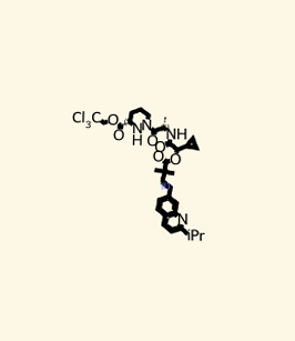 CC(C)c1ccc2ccc(/C=C/C(C)(C)C(=O)OC(C(=O)N[C@@H](C)C(=O)N3CCC[C@@H](C(=O)OCC(Cl)(Cl)Cl)N3)C3CC3)cc2n1